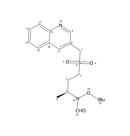 C[C@@H](CCS(=O)(=O)Cc1cnc2ccccc2c1)N(C=O)OC(C)(C)C